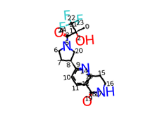 C[C@@](O)(C(=O)N1CC[C@H](c2ccc3c(n2)CCNC3=O)C1)C(F)(F)F